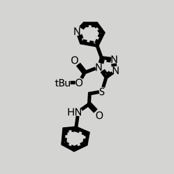 CC(C)(C)OC(=O)n1c(SCC(=O)Nc2ccccc2)nnc1-c1cccnc1